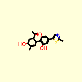 C=C(C)C1CC(O)C(C)=CC1c1c(O)cc(-c2cnc(C)s2)cc1O